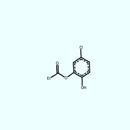 CCC(=O)Oc1cc(Cl)ccc1O